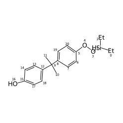 CC[SiH](CC)OOc1ccc(C(C)(C)c2ccc(O)cc2)cc1